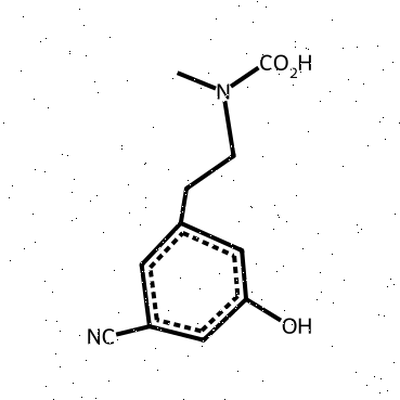 CN(CCc1cc(O)cc(C#N)c1)C(=O)O